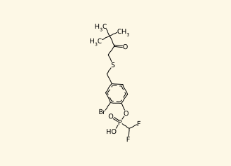 CC(C)(C)C(=O)CSCc1ccc(OP(=O)(O)C(F)F)c(Br)c1